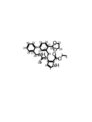 CCOC(=O)c1[nH]ccc1N(Cc1ccccc1C1OCCO1)C(=S)NCc1ccccc1